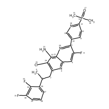 CC(Cc1nc2cc(F)c(-c3ccc(P(C)(C)=O)nc3)nc2c(N)c1Cl)c1cccc(F)c1F